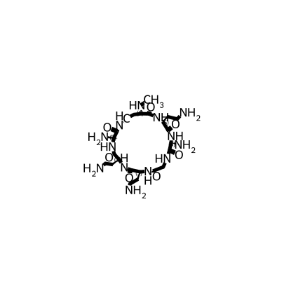 CN[C@H]1CCNC(=O)[C@H](N)NC(=O)[C@H](CCN)NC(=O)[C@H](CCN)NC(=O)CNC(=O)[C@@H](N)NC(=O)[C@H](CCN)NC1=O